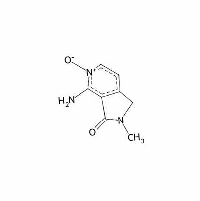 CN1Cc2cc[n+]([O-])c(N)c2C1=O